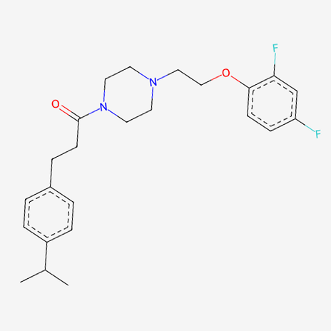 CC(C)c1ccc(CCC(=O)N2CCN(CCOc3ccc(F)cc3F)CC2)cc1